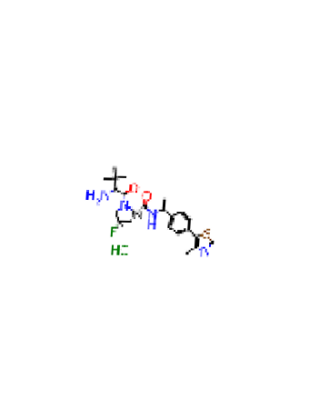 Cc1ncsc1-c1ccc(C(C)NC(=O)[C@@H]2C[C@H](F)CN2C(=O)C(N)C(C)(C)C)cc1.Cl